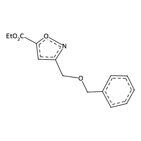 CCOC(=O)c1cc(COCc2ccccc2)no1